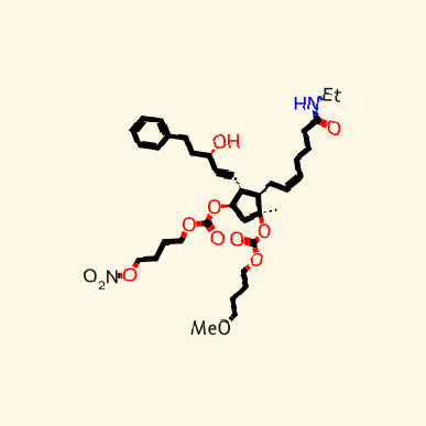 CCNC(=O)CCC/C=C\C[C@@H]1[C@@H](/C=C/[C@@H](O)CCc2ccccc2)[C@H](OC(=O)OCCCCO[N+](=O)[O-])C[C@]1(C)OC(=O)OCCCCOC